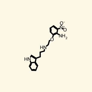 Nc1c(OCCNCCCc2c[nH]c3ccccc23)cccc1[N+](=O)[O-]